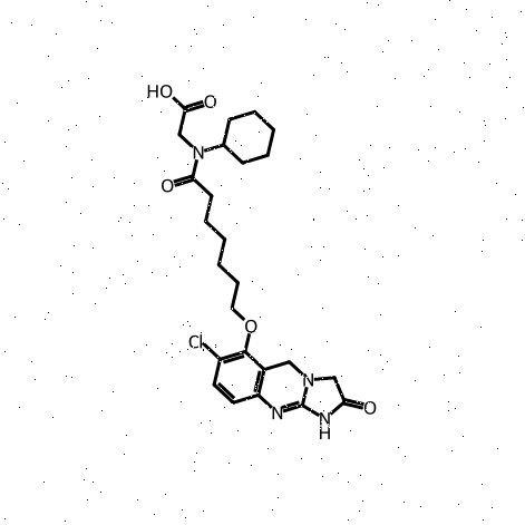 O=C(O)CN(C(=O)CCCCCCOc1c(Cl)ccc2c1CN1CC(=O)NC1=N2)C1CCCCC1